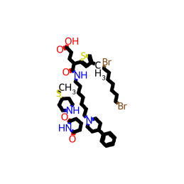 BrCCCCCCCBr.CSC1CCNCC1.Cc1csc(C(CCC(=O)O)C(=O)NCCCCCCCN2CCC(c3ccccc3)CC2)c1.O=C1CCCC(=O)N1